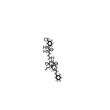 CCCN1C(=O)[C@H](CCCCNC(=O)Nc2cccc(Cl)c2)NC(=O)C12CCN(CCc1ccccc1)CC2